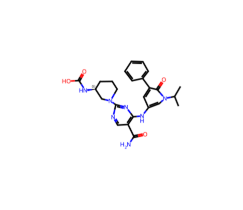 CC(C)n1cc(Nc2nc(N3CCC[C@H](NC(=O)O)C3)ncc2C(N)=O)cc(-c2ccccc2)c1=O